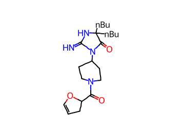 CCCCC1(CCCC)NC(=N)N(C2CCN(C(=O)C3CC=CO3)CC2)C1=O